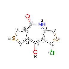 O=c1[nH]c2csc(Cl)c2c(=O)c2cscc12